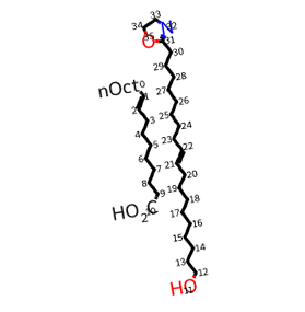 CCCCCCCCC=CCCCCCCCC(=O)O.OCCCCCCCCCC=CCCCCCCCCC1=NCCO1